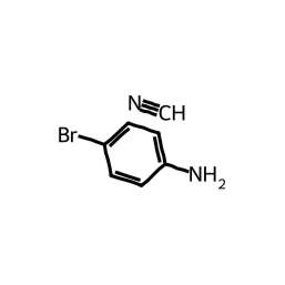 C#N.Nc1ccc(Br)cc1